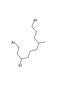 CCC(CCCC(C)CCCC(C)C)CCC(C)=O